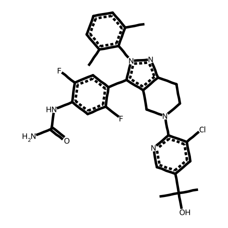 Cc1cccc(C)c1-n1nc2c(c1-c1cc(F)c(NC(N)=O)cc1F)CN(c1ncc(C(C)(C)O)cc1Cl)CC2